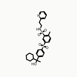 Cc1ccc(S(=O)(=O)c2ccc(C(C)(O)C3CCCCC3)cc2)cc1S(=O)(=O)NCCc1ccccn1